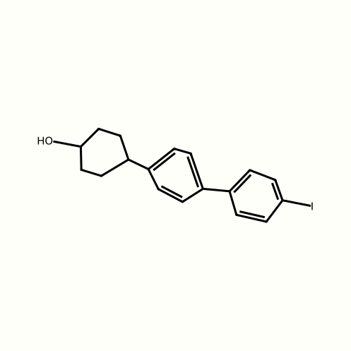 OC1CCC(c2ccc(-c3ccc(I)cc3)cc2)CC1